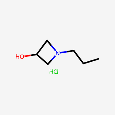 CCCN1CC(O)C1.Cl